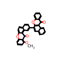 COc1cccc2oc3ccc4ccc(-c5cc6ccccc6c6c(=O)c7ccccc7oc56)cc4c3c(=O)c12